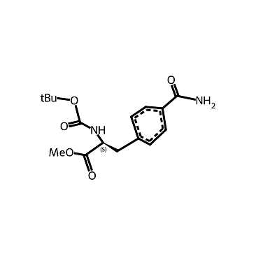 COC(=O)[C@H](Cc1ccc(C(N)=O)cc1)NC(=O)OC(C)(C)C